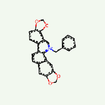 c1ccc(C[n+]2cc3c4c(ccc3c3ccc5cc6c(cc5c32)OCO6)OCO4)cc1